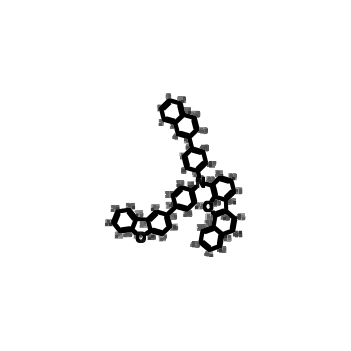 c1ccc2cc(-c3ccc(N(c4ccc(-c5ccc6oc7ccccc7c6c5)cc4)c4cccc5c4oc4c6ccccc6ccc54)cc3)ccc2c1